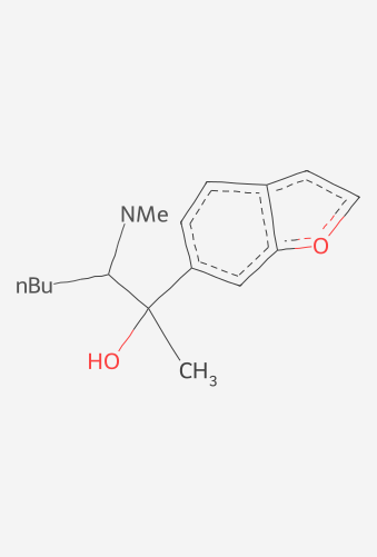 CCCCC(NC)C(C)(O)c1ccc2ccoc2c1